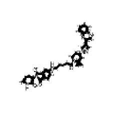 O=C1CCC(N2C(=O)c3ccc(NCCCCC(=O)N4CCC(n5cc(-c6cnc7ccccc7n6)cn5)CC45CC5)cc3C2=O)C(=O)N1